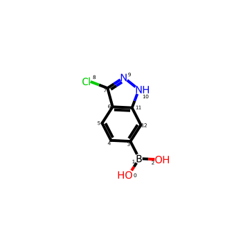 OB(O)c1ccc2c(Cl)n[nH]c2c1